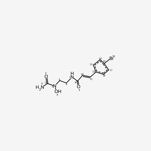 NC(=O)N(O)CCNC(=O)C=Cc1ccc(Br)cc1